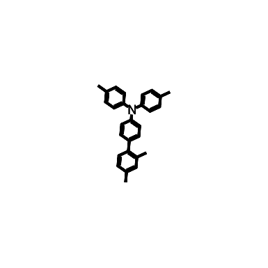 Cc1ccc(N(c2ccc(C)cc2)c2ccc(-c3ccc(C)cc3C)cc2)cc1